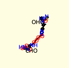 Cc1cc(-c2ccc(N3CCN(C(=O)CCOCCOCCOCCNc4cccc(C(=O)N(C=O)C5(C)CCC(=O)NC5=O)c4C)CC3)cc2)ccc1CN(C=O)C(C(=O)Nc1nccs1)c1ccccc1